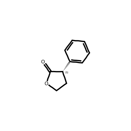 O=C1OCC[C@H]1c1ccccc1